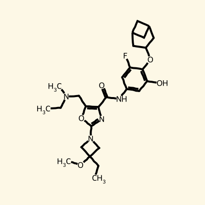 CCN(C)Cc1oc(N2CC(CC)(OC)C2)nc1C(=O)Nc1cc(O)c(OC2CC3CC(C3)C2)c(F)c1